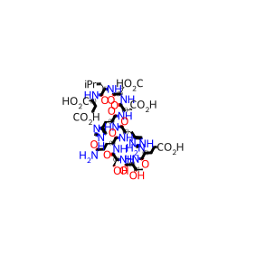 CC(C)C[C@H](NC(=O)[C@H](CC(=O)O)NC(=O)[C@H](CC(=O)O)NC(=O)[C@H](Cc1c[nH]cn1)NC(=O)[C@H](Cc1c[nH]cn1)NC(=O)[C@H](CCC(N)=O)NC(=O)[C@H](CO)NC(=O)[C@@H](NC(=O)[C@@H](N)CCC(=O)O)[C@@H](C)O)C(=O)N[C@@H](CCC(=O)O)C(=O)O